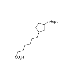 CCCCCCCC1CCC(CCCCCCC(=O)O)C1